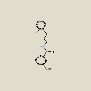 COc1cccc(C(C)NCCCc2ccccc2F)c1